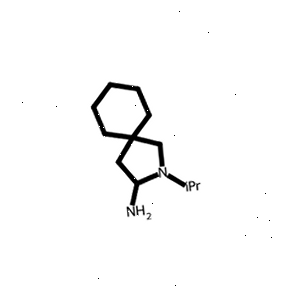 CC(C)N1CC2(CCCCC2)CC1N